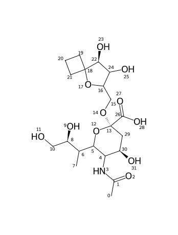 CC(=O)NC1C(C(C)[C@H](O)CO)O[C@@](OCC2OC3(CCC3)[C@@H](O)C2O)(C(=O)O)C[C@H]1O